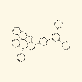 c1ccc(-c2cc(-c3ccccc3)cc(-c3ccc(-c4ccc(N(c5ccccc5)c5ccccc5)c5c4oc4cc6ccccc6cc45)cc3)c2)cc1